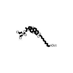 CCCCCCCC/C=C\CCCCCCCC(=O)O[C@H]1CC[C@@]2(C)C(=CC[C@H]3[C@@H]4CC[C@H](C(C)COC(=O)N(CCCl)CCCl)[C@@]4(C)CC[C@@H]32)C1